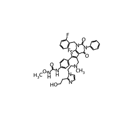 CONC(=O)Nc1ccc(-c2sc3c(c2CN(C)CCn2ccnc2CCO)c(=O)n(-c2ccccc2)c(=O)n3Cc2c(F)cccc2F)cc1